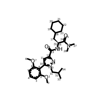 COc1cccc(OC)c1-c1cc(C(=O)N[C@@H](CC2CCCCC2)C(=O)N(C)C)nn1CC(C)C